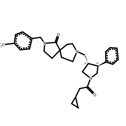 O=C(CC1CC1)N1C[C@H](CN2CCC3(CC2)CCN(Cc2ccc(C(F)(F)F)cc2)C3=O)[C@@H](c2ccccc2)C1